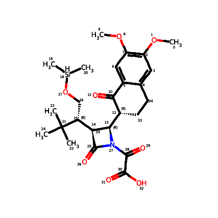 COc1cc2c(cc1OC)C(=O)[C@@H]([C@@H]1[C@H]([C@@H](CO[SiH](C)C)C(C)(C)C)C(=O)N1C(=O)C(=O)O)CC2